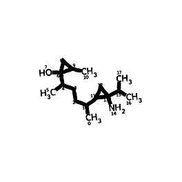 CC(CCC(C)C1(O)CC1C)C1CC1(N)C(C)C